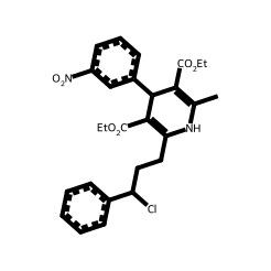 CCOC(=O)C1=C(C)NC(CCC(Cl)c2ccccc2)=C(C(=O)OCC)C1c1cccc([N+](=O)[O-])c1